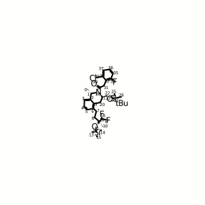 C[C@H]1c2cccc(CC[C@](C)(O[Si](C)(C)C)C(F)F)c2C[C@H](CO[Si](C)(C)C(C)(C)C)N1C(=O)Cc1c(F)cccc1Cl